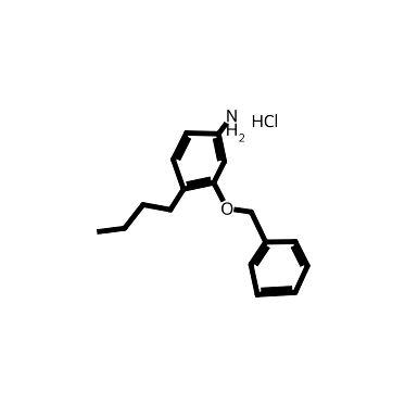 CCCCc1ccc(N)cc1OCc1ccccc1.Cl